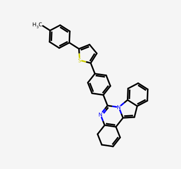 Cc1ccc(-c2ccc(-c3ccc(-c4nc5c(c6cc7ccccc7n46)C=CCC5)cc3)s2)cc1